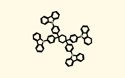 C1=Cc2c(c3ccccc3n2-c2ccc(C3(c4ccc(-n5c6ccccc6c6ccccc65)cc4)CCC(c4ccc(-n5c6ccccc6c6ccccc65)cc4)(c4ccc(-n5c6ccccc6c6ccccc65)cc4)CC3)cc2)CC1